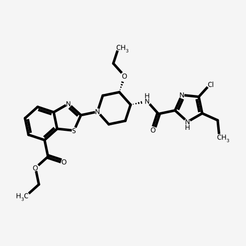 CCOC(=O)c1cccc2nc(N3CC[C@@H](NC(=O)c4nc(Cl)c(CC)[nH]4)[C@@H](OCC)C3)sc12